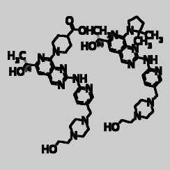 C[C@@H](O)c1cc2cnc(Nc3ccc(CN4CCN(CCO)CC4)cn3)nc2c(N2CCC(C(=O)O)CC2)n1.C[C@@H](O)c1cc2cnc(Nc3ccc(CN4CCN(CCO)CC4)cn3)nc2c(N2CCCC2(C)C)n1